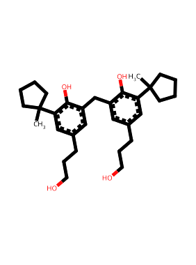 CC1(c2cc(CCCO)cc(Cc3cc(CCCO)cc(C4(C)CCCC4)c3O)c2O)CCCC1